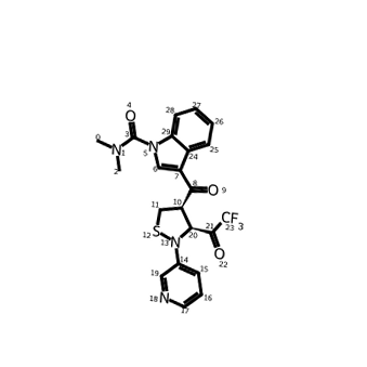 CN(C)C(=O)n1cc(C(=O)[C@@H]2CSN(c3cccnc3)[C@@H]2C(=O)C(F)(F)F)c2ccccc21